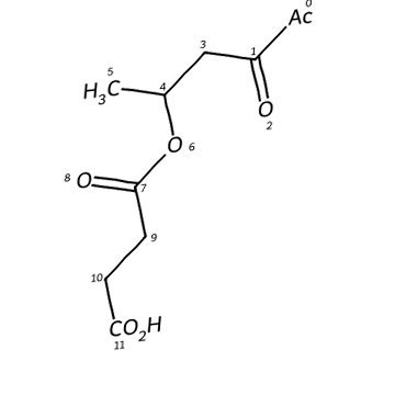 CC(=O)C(=O)CC(C)OC(=O)CCC(=O)O